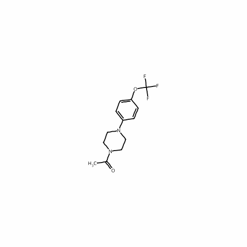 CC(=O)N1CCN(c2ccc(OC(F)(F)F)cc2)CC1